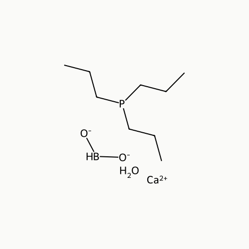 CCCP(CCC)CCC.O.[Ca+2].[O-]B[O-]